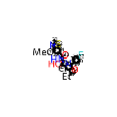 CC[C@@H]1COc2c1cc([C@@](O)(CNC(=O)c1cc(OC)c3nc(C)sc3c1)C(F)(F)F)nc2-c1ccc(F)cc1